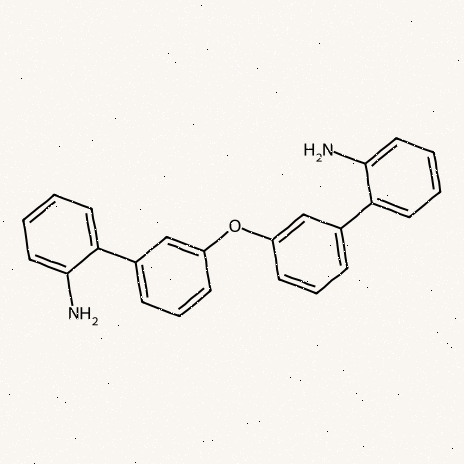 Nc1ccccc1-c1cccc(Oc2cccc(-c3ccccc3N)c2)c1